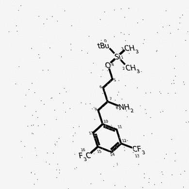 CC(C)(C)[Si](C)(C)OCCC(N)Cc1cc(C(F)(F)F)cc(C(F)(F)F)c1